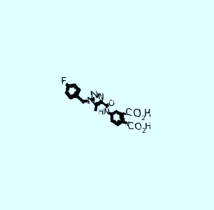 Cc1c(C(=O)Nc2ccc(C(=O)O)c(C(=O)O)c2)nnn1Cc1ccc(F)cc1